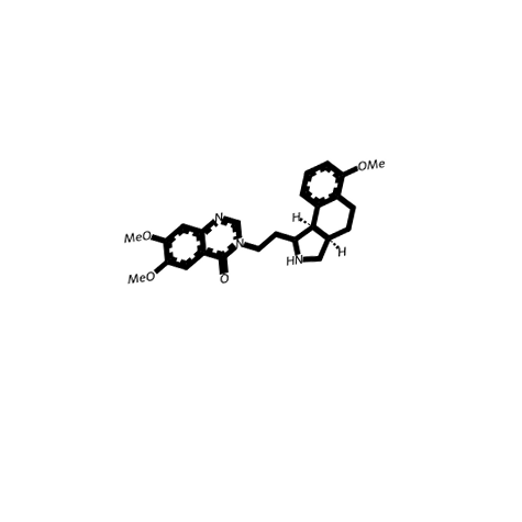 COc1cc2ncn(CCC3NC[C@@H]4CCc5c(OC)cccc5[C@H]34)c(=O)c2cc1OC